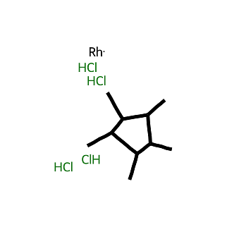 CC1C(C)C(C)C(C)C1C.Cl.Cl.Cl.Cl.[Rh]